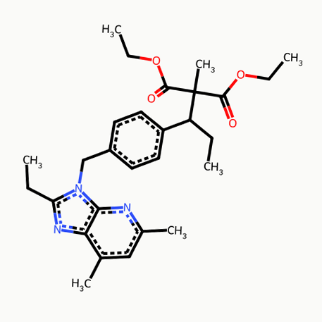 CCOC(=O)C(C)(C(=O)OCC)C(CC)c1ccc(Cn2c(CC)nc3c(C)cc(C)nc32)cc1